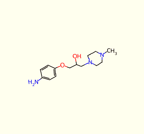 CN1CCN(CC(O)COc2ccc(N)cc2)CC1